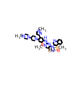 COc1cc(N2CCC(N3CCN(C)CC3)CC2)c(-c2ccn(C)n2)cc1Nc1ncc(Br)c(Nc2cnc3ccccc3c2P(C)(C)=O)n1